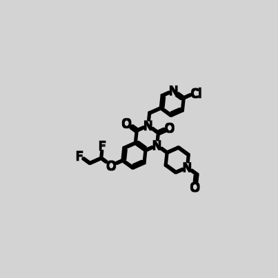 O=CN1CCC(n2c(=O)n(Cc3ccc(Cl)nc3)c(=O)c3cc(OC(F)CF)ccc32)CC1